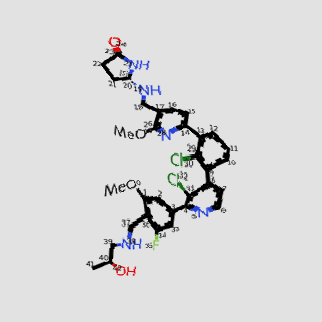 COc1cc(-c2nccc(-c3cccc(-c4ccc(CN[C@@H]5CCC(=O)N5)c(OC)n4)c3Cl)c2Cl)cc(F)c1CNCC(C)O